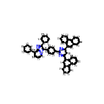 c1ccc(-c2nc3c(-c4ccccc4)cccn3c2-c2ccc(-c3nc(-c4cc5ccccc5c5ccccc45)cc(-c4cc5ccccc5c5ccccc45)n3)cc2)cc1